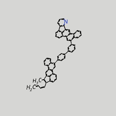 C=C/C=C\C1=C(C)c2cc3c4ccccc4c(-c4ccc(-c5cccc(-c6cc7c8cccc9c8c(cc7c7ccccc67)-c6ncccc6-9)c5)cc4)cc3c3cccc1c23